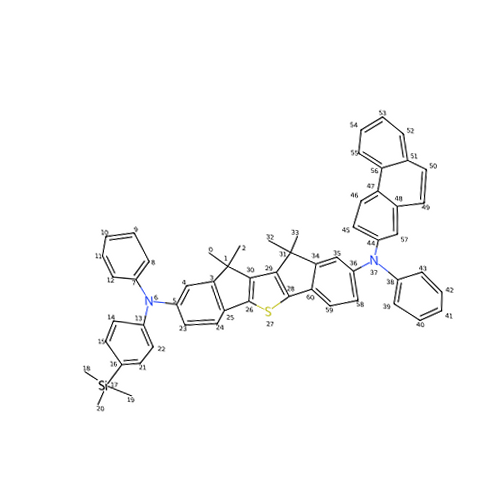 CC1(C)c2cc(N(c3ccccc3)c3ccc([Si](C)(C)C)cc3)ccc2-c2sc3c(c21)C(C)(C)c1cc(N(c2ccccc2)c2ccc4c(ccc5ccccc54)c2)ccc1-3